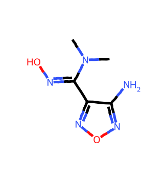 CN(C)/C(=N\O)c1nonc1N